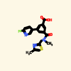 Cc1csc(CN(C)C(=O)c2cc(C(=O)O)cc(-c3ccc(F)nc3)c2)n1